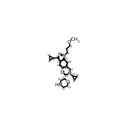 COCCCn1nc(C2CC2)c2ccc(CN(C(=O)[C@H]3CNCCO3)C3CC3)cc21